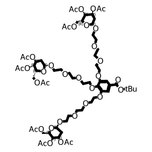 CC(=O)OC[C@H]1O[C@@H](OCCOCCOCCOc2cc(C(=O)OC(C)(C)C)cc(OCCOCCOCCO[C@H]3C[C@@H](OC(C)=O)[C@@H](OC(C)=O)[C@@H](COC(C)=O)O3)c2OCCOCCOCCO[C@H]2C[C@@H](OC(C)=O)[C@@H](OC(C)=O)[C@@H](COC(C)=O)O2)C[C@@H](OC(C)=O)[C@H]1OC(C)=O